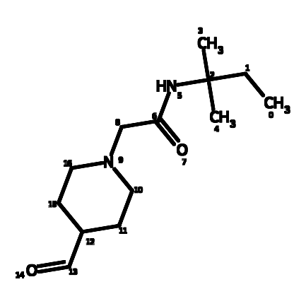 CCC(C)(C)NC(=O)CN1CCC(C=O)CC1